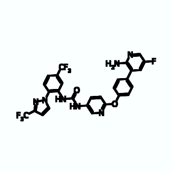 Nc1ncc(F)cc1-c1ccc(Oc2ccc(NC(=O)Nc3cc(C(F)(F)F)ccc3-n3ccc(C(F)(F)F)n3)cn2)cc1